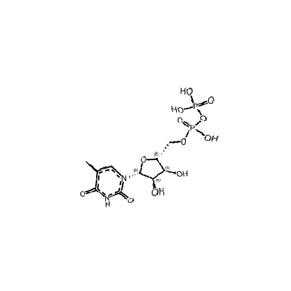 Cc1cn([C@@H]2O[C@H](COP(=O)(O)OP(=O)(O)O)[C@@H](O)[C@H]2O)c(=O)[nH]c1=O